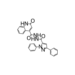 O=C(NNC(=O)c1cc(-c2ccccc2)nn1-c1ccccc1)c1cc(=O)[nH]c2ccccc12